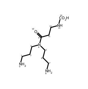 NCCCN(CCCN)C(=O)CCNC(=O)O